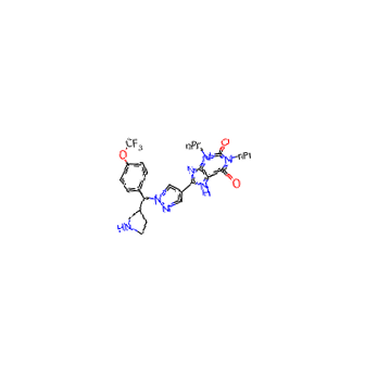 CCCn1c(=O)c2[nH]c(-c3cnn(C(c4ccc(OC(F)(F)F)cc4)C4CCNC4)c3)nc2n(CCC)c1=O